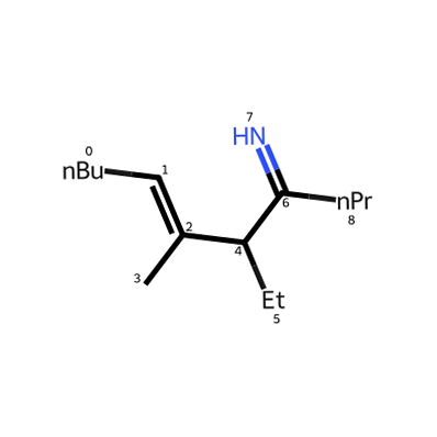 CCCC/C=C(\C)C(CC)C(=N)CCC